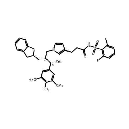 COc1cc([C@@H](O)[C@H](CC2Cc3ccccc3C2)Cn2ccc(CCC(=O)NS(=O)(=O)c3c(F)cccc3F)c2)cc(OC)c1C